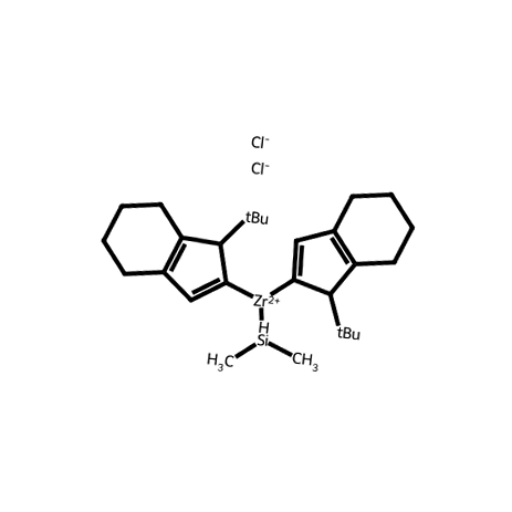 C[SiH](C)[Zr+2]([C]1=CC2=C(CCCC2)C1C(C)(C)C)[C]1=CC2=C(CCCC2)C1C(C)(C)C.[Cl-].[Cl-]